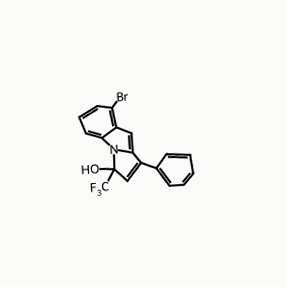 OC1(C(F)(F)F)C=C(c2ccccc2)c2cc3c(Br)cccc3n21